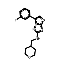 Fc1cccc(-c2cnc3sc(NCC4CCOCC4)nn23)c1